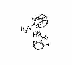 NC1=N[C@@]2(c3cc(NC(=O)c4ncccc4F)ccc3F)C3CC32CO1